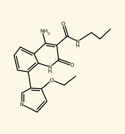 CCCNC(=O)c1c(N)c2cccc(-c3cnccc3OCC)c2[nH]c1=O